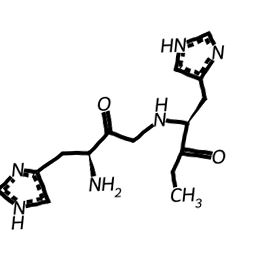 CCC(=O)[C@H](Cc1c[nH]cn1)NCC(=O)[C@@H](N)Cc1c[nH]cn1